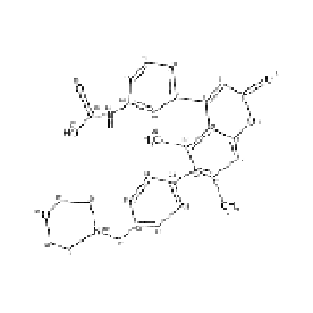 Cc1cc2oc(=O)cc(-c3cccc(NC(=O)O)c3)c2c(C)c1-c1ccc(CN2CCOCC2)cc1